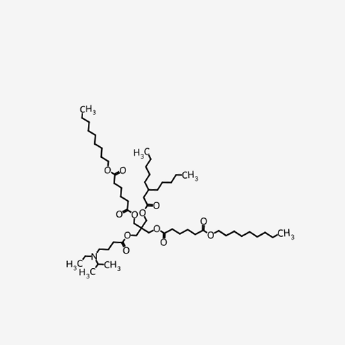 CCCCCCCCCOC(=O)CCCCC(=O)OCC(COC(=O)CCCCC(=O)OCCCCCCCCC)(COC(=O)CCCN(CC)C(C)C)COC(=O)CC(CCCCC)CCCCC